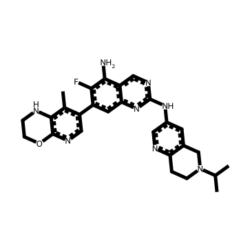 Cc1c(-c2cc3nc(Nc4cnc5c(c4)CN(C(C)C)CC5)ncc3c(N)c2F)cnc2c1NCCO2